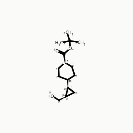 CC(C)(C)OC(=O)N1CCC([C@H]2C[C@H]2CO)CC1